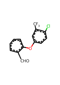 O=Cc1ccccc1Oc1ccc(Cl)c(C(F)(F)F)c1